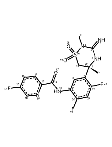 CN1C(=N)N[C@](C)(c2cc(NC(=O)c3ccc(F)cn3)c(F)cc2F)CS1(=O)=O